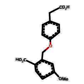 COc1ccc(C(=O)O)c(COc2ccc(CC(=O)O)cc2)c1